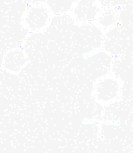 CC(C)S(=O)(=O)c1ccc(NC(=O)c2n[nH]c3ccc(-c4cncc(N5CCCC5)c4)cc23)cn1